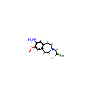 COc1cc2c(cc1N)CCN(CC(F)F)CC2